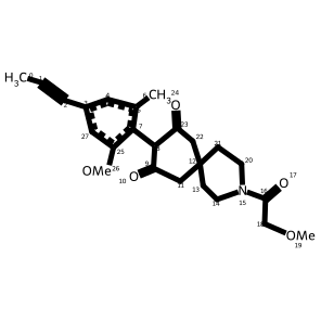 CC#Cc1cc(C)c(C2C(=O)CC3(CCN(C(=O)COC)CC3)CC2=O)c(OC)c1